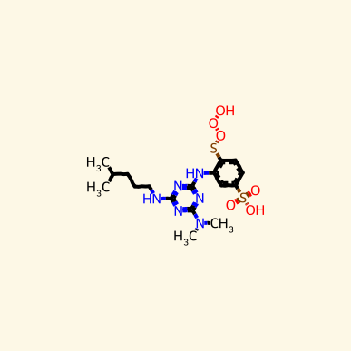 CC(C)CCCNc1nc(Nc2cc(S(=O)(=O)O)ccc2SOOO)nc(N(C)C)n1